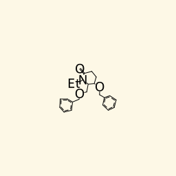 CCN1C(=O)CCC(OCc2ccccc2)C1COCc1ccccc1